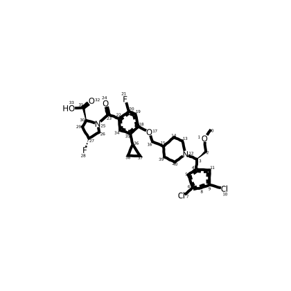 COC[C@@H](c1cc(Cl)cc(Cl)c1)N1CCC(COc2cc(F)c(C(=O)N3C[C@H](F)C[C@H]3C(=O)O)cc2C2CC2)CC1